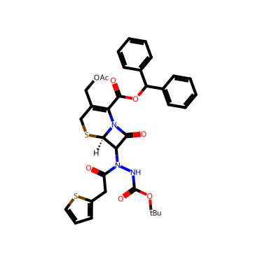 CC(=O)OCC1=C(C(=O)OC(c2ccccc2)c2ccccc2)N2C(=O)C(N(NC(=O)OC(C)(C)C)C(=O)Cc3cccs3)[C@H]2SC1